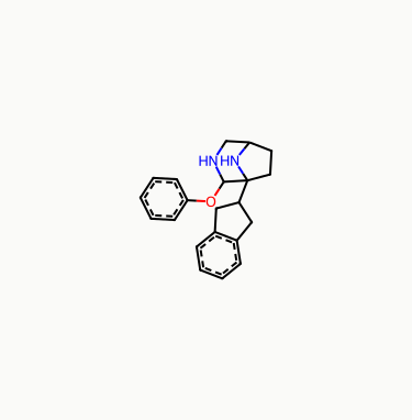 c1ccc(OC2NCC3CCC2(C2Cc4ccccc4C2)N3)cc1